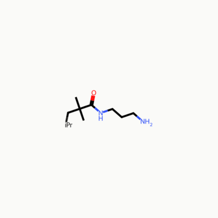 CC(C)CC(C)(C)C(=O)NCCCN